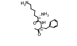 CC(=O)[C@H](Cc1ccccc1)NC(=O)[C@@H](N)CCCCN